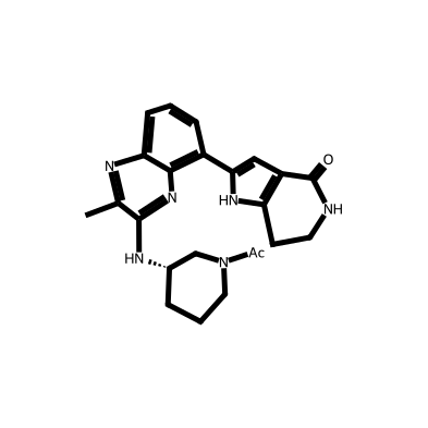 CC(=O)N1CCC[C@H](Nc2nc3c(-c4cc5c([nH]4)CCNC5=O)cccc3nc2C)C1